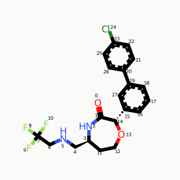 O=C1N[C@H](CNCC(F)(F)F)CCO[C@H]1c1cccc(-c2ccc(Cl)cc2)c1